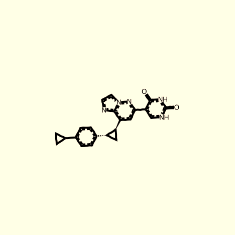 O=c1[nH]cc(-c2cc([C@H]3C[C@@H]3c3ccc(C4CC4)cc3)c3nccn3n2)c(=O)[nH]1